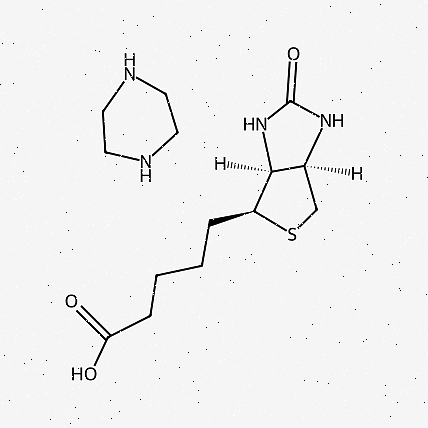 C1CNCCN1.O=C(O)CCCC[C@@H]1SC[C@@H]2NC(=O)N[C@@H]21